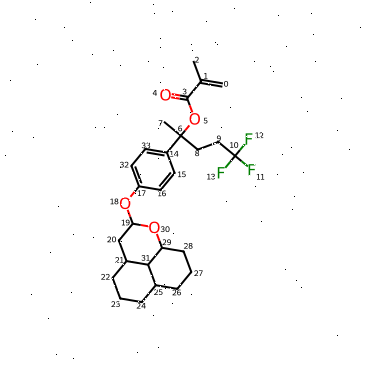 C=C(C)C(=O)OC(C)(CCC(F)(F)F)c1ccc(OC2CC3CCCC4CCCC(O2)C43)cc1